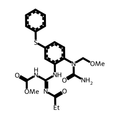 CCC(=O)N=C(NC(=O)OC)Nc1cc(Sc2ccccc2)ccc1N(COC)C(N)=O